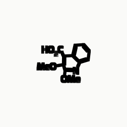 COc1nc2ccccc2c(C(=O)O)c1OC